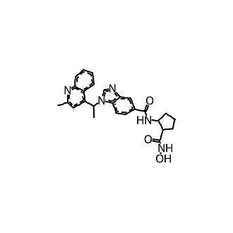 Cc1cc(C(C)n2cnc3cc(C(=O)NC4CCCC4C(=O)NO)ccc32)c2ccccc2n1